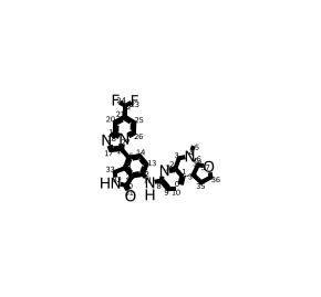 C=C(/C(CN(C)C)=N\C(=C/C)Nc1ccc(-c2cnc3cc(C(F)F)ccn23)c2c1C(=O)NC2)[C@H]1CCOC1